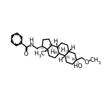 COC[C@@]1(O)CC[C@H]2[C@H](CC[C@@H]3[C@@H]2CC[C@]2(C)[C@@H](CNC(=O)c4ccccc4)CC[C@@H]32)C1